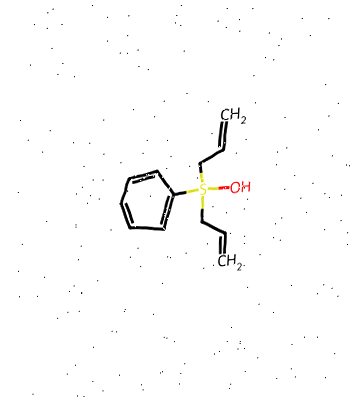 C=CCS(O)(CC=C)c1ccccc1